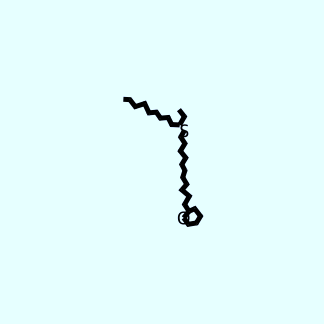 CCCCCCCCCC(CC)SCCCCCCCCCCCC1CCCCO1